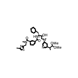 COC(OC)C(C)c1cncc(N(C)C[C@@H](O)[C@H](Cc2ccccc2)NC(=O)c2cccc(C(=O)N(C)Cc3nc(C)cs3)c2)c1